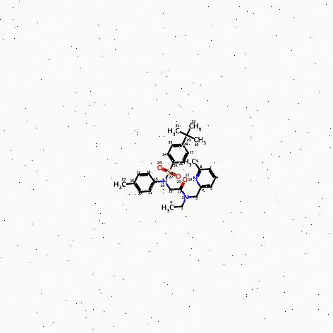 CCN(Cc1cccc(C)n1)C(=O)CN(c1ccc(C)cc1)S(=O)(=O)c1ccc(C(C)(C)C)cc1